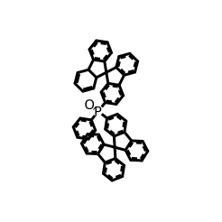 O=P(c1ccccc1)(c1ccc2c(c1)C1(c3ccccc3-c3ccccc31)c1ccccc1-2)c1ccc2c(c1)C1(c3ccccc3-2)c2ccccc2C2C=CC=CC21